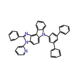 c1ccc(-c2cc(-c3ccccc3)cc(-n3c4ccccc4c4c5nc(-c6ccccc6)n(-c6ccccn6)c5ccc43)c2)cc1